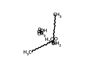 CCCCCCCCCCCCCCCC(=O)C(C)(CN)C(=O)CCCCCCCCCCCCCCC.COS(=O)(=O)O